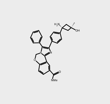 CNC(=O)c1ccc2c(c1)-c1nc(-c3ccc([C@]4(N)C[C@](C)(O)C4)cc3)c(-c3ccccc3)n1CO2